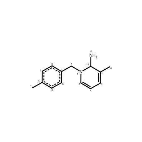 CC1=CC=CN(Cc2ccc(C)cc2)C1N